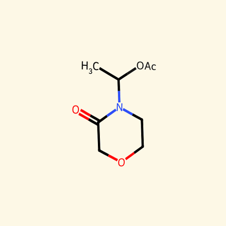 CC(=O)OC(C)N1CCOCC1=O